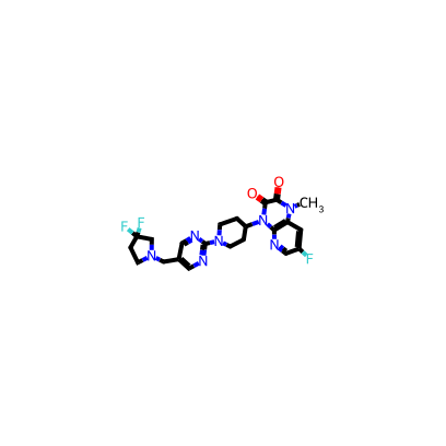 Cn1c(=O)c(=O)n(C2CCN(c3ncc(CN4CCC(F)(F)C4)cn3)CC2)c2ncc(F)cc21